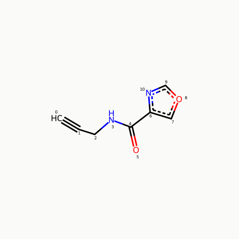 C#CCNC(=O)c1cocn1